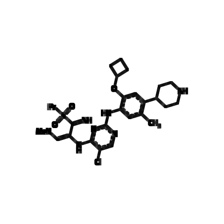 CN/C=C(/Nc1nc(Nc2cc(C)c(C3CCNCC3)cc2OC2CCC2)ncc1Cl)C(=N)S(=O)(=O)C(C)C